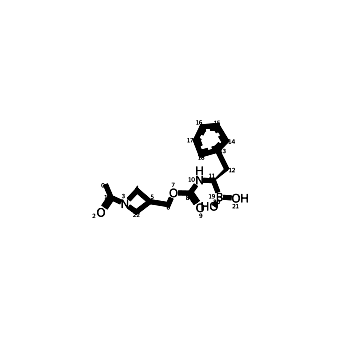 CC(=O)N1CC(COC(=O)N[C@@H](Cc2ccccc2)B(O)O)C1